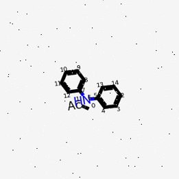 CC(C)=O.c1ccc(Nc2ccccc2)cc1